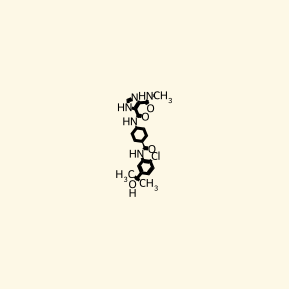 CNC(=O)c1nc[nH]c1C(=O)N[C@H]1CC[C@H](C(=O)Nc2cc(C(C)(C)O)ccc2Cl)CC1